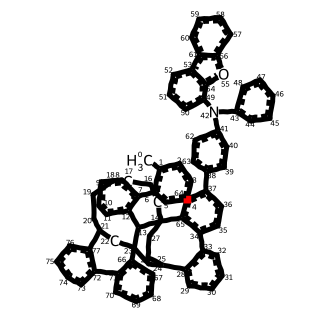 Cc1ccccc1-c1ccccc1C1C23CCCCCCC4CC1(CC(CC2)c1ccccc1-c1ccc(-c2ccc(N(c5ccccc5)c5cccc6c5oc5ccccc56)cc2)cc13)c1ccccc1-c1ccccc14